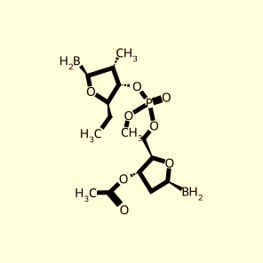 B[C@@H]1O[C@H](CC)[C@@H](OP(=O)(OC)OC[C@H]2O[C@@H](B)C[C@@H]2OC(C)=O)[C@H]1C